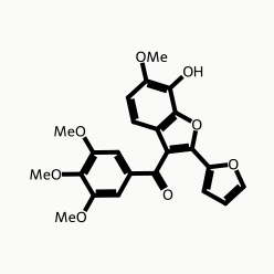 COc1cc(C(=O)c2c(-c3ccco3)oc3c(O)c(OC)ccc23)cc(OC)c1OC